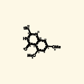 COc1cc(OC)c2c(=O)[nH]c(C(C)(C)C)nc2c1